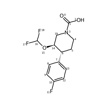 O=C(O)N1CC[C@H](c2ccc(F)cc2)[C@@H](OC(F)F)C1